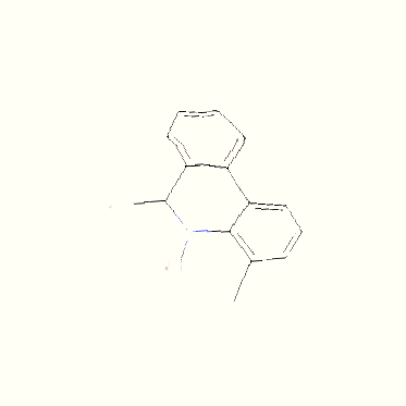 CCCCN1c2c(C)cccc2-c2ccccc2C1C=O